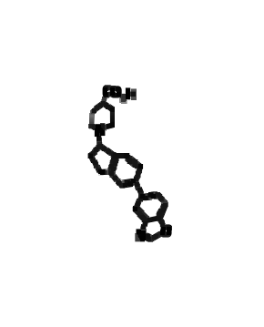 O=C(O)C1CCN(C2CCc3cc(-c4ccc5ocnc5c4)ccc32)CC1